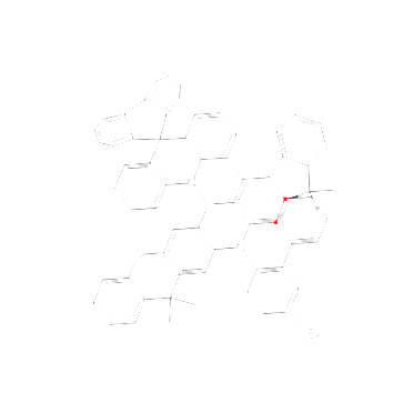 CC(C)(C)c1ccc(N2c3cc4c(cc3B3c5c2cc2c(c5-c5cccc6c5N3c3ccccc3C63c5ccccc5-c5ccccc53)-c3ccccc3C2(C)C)Sc2ccccc2C4(C)C)c(-c2ccccc2)c1